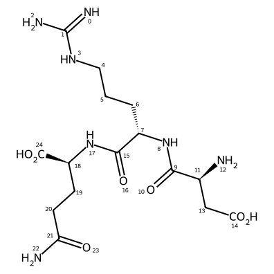 N=C(N)NCCC[C@H](NC(=O)[C@@H](N)CC(=O)O)C(=O)N[C@@H](CCC(N)=O)C(=O)O